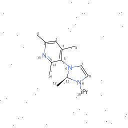 Cc1cc(C)c(N2C=CN(C(C)C)[C@H]2C)c(C)n1